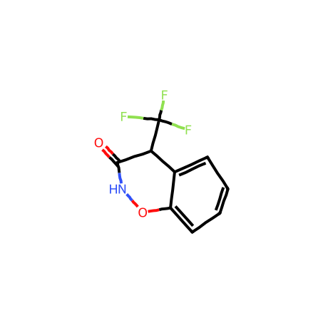 O=C1NOc2ccccc2C1C(F)(F)F